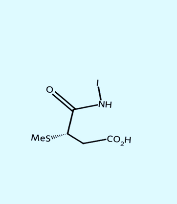 CS[C@@H](CC(=O)O)C(=O)NI